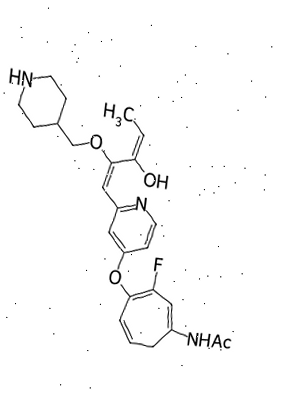 C/C=C(O)\C(=C/c1cc(OC2=C(F)C=C(NC(C)=O)CC=C2)ccn1)OCC1CCNCC1